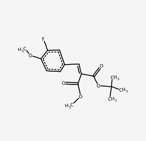 COC(=O)/C(=C\c1ccc(OC)c(F)c1)C(=O)OC(C)(C)C